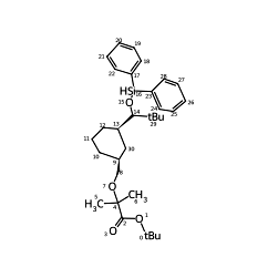 CC(C)(C)OC(=O)C(C)(C)OC[C@H]1CCC[C@@H](C(O[SiH](c2ccccc2)c2ccccc2)C(C)(C)C)C1